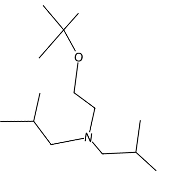 CC(C)CN(CCOC(C)(C)C)CC(C)C